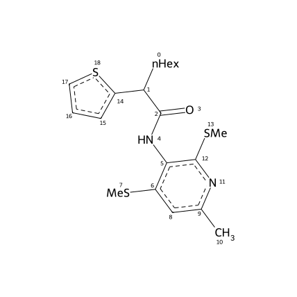 CCCCCCC(C(=O)Nc1c(SC)cc(C)nc1SC)c1cccs1